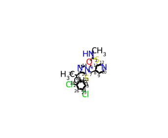 CNC(=S)OC[N+]1(Cc2ccncc2)C=NC(C(C)C)=C1Sc1cc(Cl)cc(Cl)c1